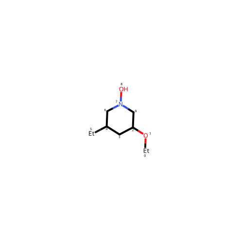 CCOC1CC(CC)CN(O)C1